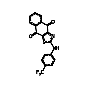 O=C1c2ccccc2C(=O)c2sc(Nc3ccc(C(F)(F)F)cc3)nc21